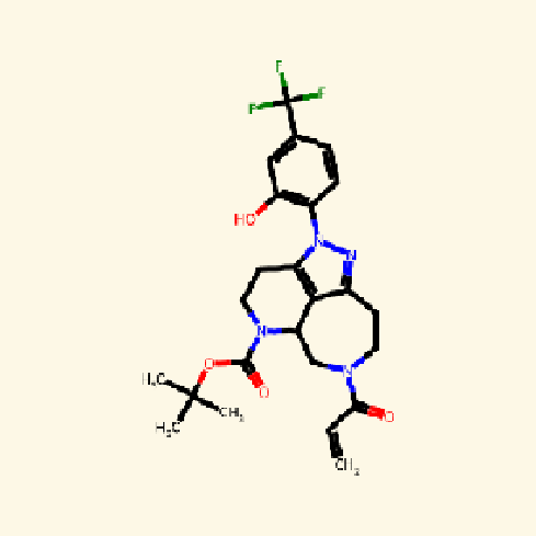 C=CC(=O)N1CCc2nn(-c3ccc(C(F)(F)F)cc3O)c3c2C(C1)N(C(=O)OC(C)(C)C)CC3